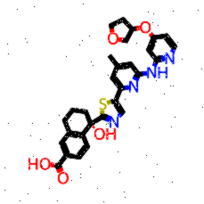 Cc1cc(Nc2cc(OC3CCOC3)ccn2)nc(-c2cnc([C@]3(O)CCCc4cc(C(=O)O)ccc43)s2)c1